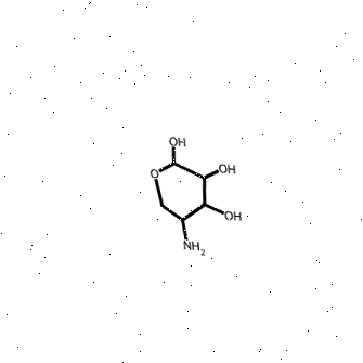 NC1COC(O)C(O)C1O